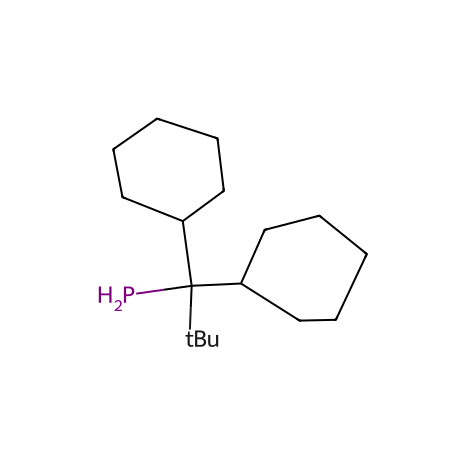 CC(C)(C)C(P)(C1CCCCC1)C1CCCCC1